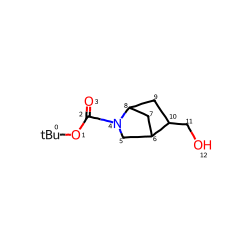 CC(C)(C)OC(=O)N1CC2CC1CC2CO